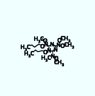 CCCCON(OC)C1N=C(N(OC)OC)N=C(N(C)OC)N1OCCCC